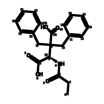 CCC(=O)N[C@H](C(=O)O)C(Cc1ccccc1)(Cc1ccccc1)C(=O)O